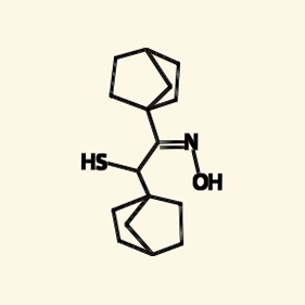 ON=C(C(S)C12CCC(CC1)C2)C12CCC(CC1)C2